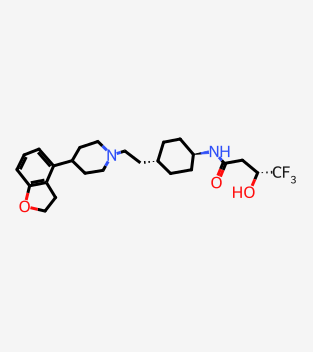 O=C(C[C@@H](O)C(F)(F)F)N[C@H]1CC[C@H](CCN2CCC(c3cccc4c3CCO4)CC2)CC1